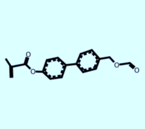 C=C(C)C(=O)Oc1ccc(-c2ccc(COC=O)cc2)cc1